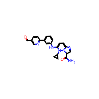 NC(=O)C1C=NC2=CC=C(Nc3cccc(-c4ccc(C=O)cn4)c3)N(C3CC3)N21